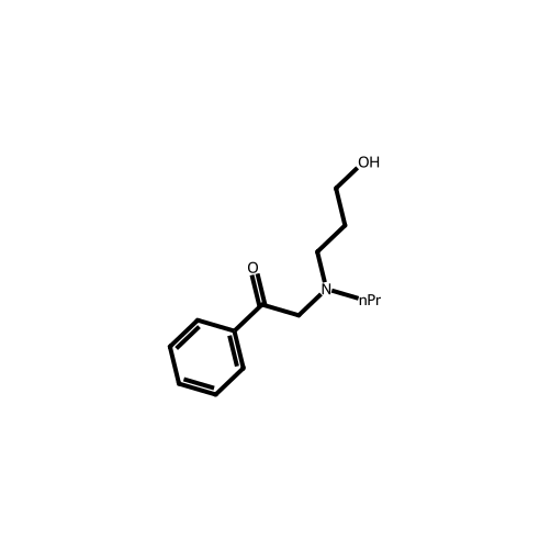 [CH2]CCN(CCCO)CC(=O)c1ccccc1